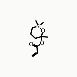 C=CC(=O)OC1(C)CCC[Si](C)(C)O1